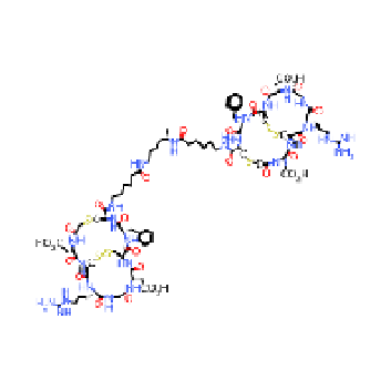 C[C@H](CCCCNC(=O)CCCCCNC(=O)[C@@H]1CSCC(=O)N[C@@H](CC(=O)O)C(=O)N[C@H]2CSSC[C@H](NC(=O)[C@H](CC(=O)O)NC(=O)CNC(=O)[C@H](CCCNC(=N)N)NC2=O)C(=O)N[C@@H](Cc2ccccc2)C(=O)N1)NC(=O)CCCCCNC(=O)[C@@H]1CSCC(=O)N[C@@H](CC(=O)O)C(=O)N[C@H]2CSSC[C@H](NC(=O)[C@H](CC(=O)O)NC(=O)CNC(=O)[C@H](CCCNC(=N)N)NC2=O)C(=O)N[C@@H](Cc2ccccc2)C(=O)N1